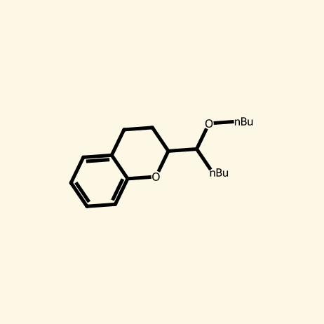 CCCCOC(CCCC)C1CCc2ccccc2O1